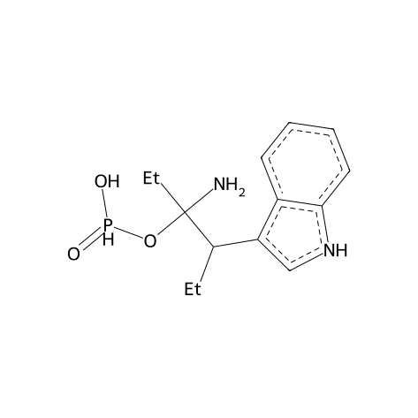 CCC(c1c[nH]c2ccccc12)C(N)(CC)O[PH](=O)O